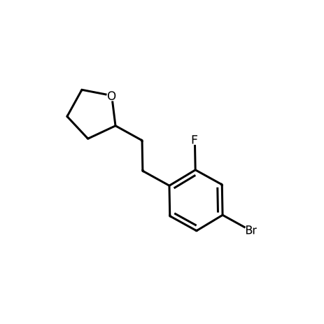 Fc1cc(Br)ccc1CCC1CCCO1